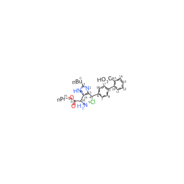 CCCCc1nc(C(Cl)c2ccc(-c3ccccc3C(=O)O)cc2)c(C(N)C(=O)OCCC)[nH]1